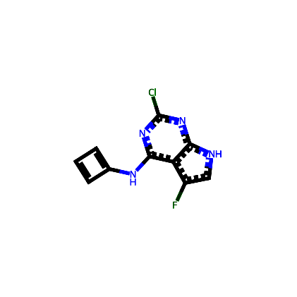 Fc1c[nH]c2nc(Cl)nc(NC3=CC=C3)c12